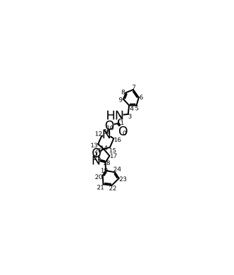 O=C(NCc1ccccc1)ON1CCC2(CC1)CC(c1ccccc1)=NO2